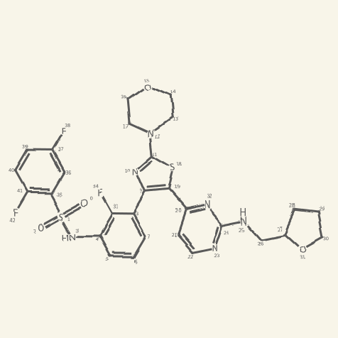 O=S(=O)(Nc1cccc(-c2nc(N3CCOCC3)sc2-c2ccnc(NCC3CCCO3)n2)c1F)c1cc(F)ccc1F